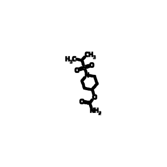 CC(C)S(=O)(=O)N1CCC(OC(N)=O)CC1